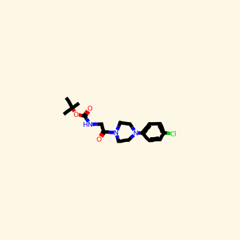 CC(C)(C)OC(=O)NCC(=O)N1CCN(c2ccc(Cl)cc2)CC1